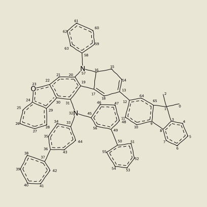 CC1(C)c2ccccc2-c2ccc(C3=CCC4C(=C3)c3c(cc5oc6ccccc6c5c3N(c3ccc(-c5ccccc5)cc3)c3cccc(-c5ccccc5)c3)N4c3ccccc3)cc21